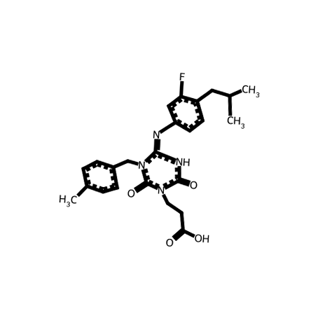 Cc1ccc(Cn2c(=O)n(CCC(=O)O)c(=O)[nH]/c2=N\c2ccc(CC(C)C)c(F)c2)cc1